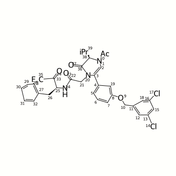 CC(=O)N1C=C(c2cccc(OCc3cc(Cl)cc(Cl)c3)c2)N(CC(=O)N[C@@H](Cc2ccccc2)C(=O)C(F)(F)F)C(=O)[C@H]1C(C)C